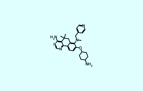 CN(Cc1ccncc1)c1c(OC2CCC(N)CC2)ccc2c1CC(C)(C)c1c(N)ncnc1-2